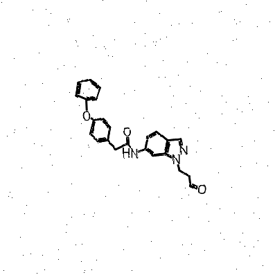 O=CCCn1ncc2ccc(NC(=O)Cc3ccc(Oc4ccccc4)cc3)cc21